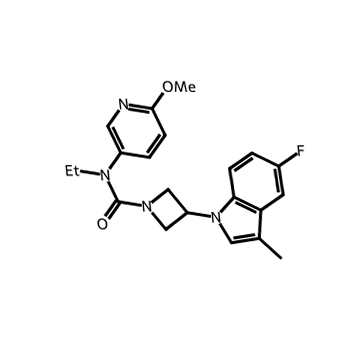 CCN(C(=O)N1CC(n2cc(C)c3cc(F)ccc32)C1)c1ccc(OC)nc1